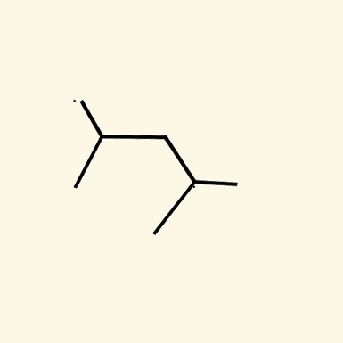 [CH2]C(C)C[C](C)C